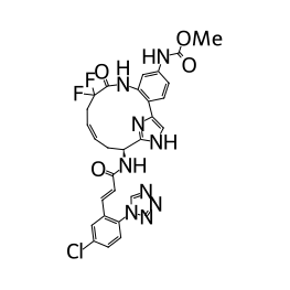 COC(=O)Nc1ccc2c(c1)NC(=O)C(F)(F)C/C=C\C[C@H](NC(=O)/C=C/c1cc(Cl)ccc1-n1cnnn1)c1nc-2c[nH]1